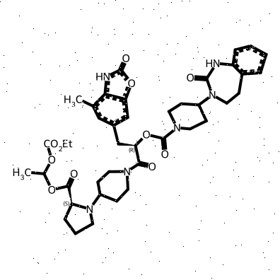 CCOC(=O)OC(C)OC(=O)[C@@H]1CCCN1C1CCN(C(=O)[C@@H](Cc2cc(C)c3[nH]c(=O)oc3c2)OC(=O)N2CCC(N3CCc4ccccc4NC3=O)CC2)CC1